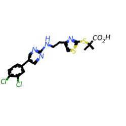 CC(C)(Sc1nc(CCNc2ncc(-c3ccc(Cl)c(Cl)c3)cn2)cs1)C(=O)O